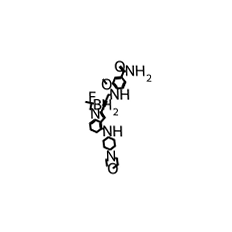 BC(C)(F)Cn1c(C#CCNc2ccc(C(N)=O)cc2OC)cc2c1=CCCC=2NC1CCC(N2CCOCC2)CC1